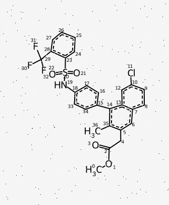 COC(=O)Cc1cc2ccc(Cl)cc2c(-c2ccc(NS(=O)(=O)c3ccccc3C(F)(F)F)cc2)c1C